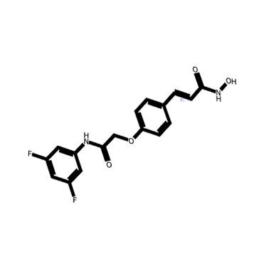 O=C(/C=C/c1ccc(OCC(=O)Nc2cc(F)cc(F)c2)cc1)NO